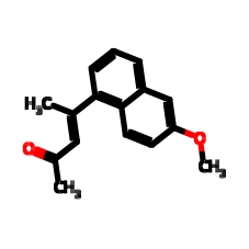 COc1ccc2c(C(C)=CC(C)=O)cccc2c1